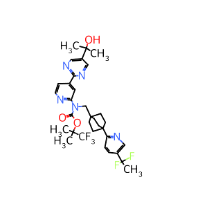 CC(C)(O)c1cnc(-c2ccnc(N(CC34CCC(c5ccc(C(C)(F)F)cn5)(CC3)CC4)C(=O)OC(C)(C)C(F)(F)F)c2)nc1